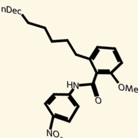 CCCCCCCCCCCCCCCc1cccc(OC)c1C(=O)Nc1ccc([N+](=O)[O-])cc1